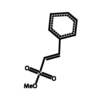 COS(=O)(=O)/C=C/c1ccccc1